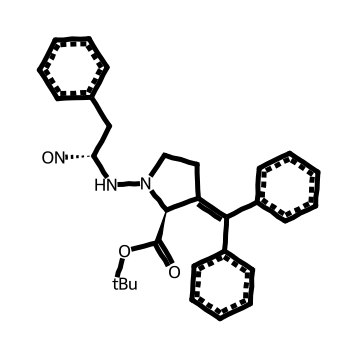 CC(C)(C)OC(=O)[C@@H]1C(=C(c2ccccc2)c2ccccc2)CCN1N[C@@H](Cc1ccccc1)N=O